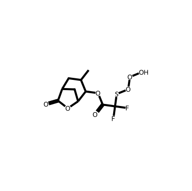 CC1CC2CC(OC2=O)C1OC(=O)C(F)(F)SOOO